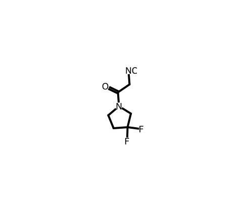 [C-]#[N+]CC(=O)N1CCC(F)(F)C1